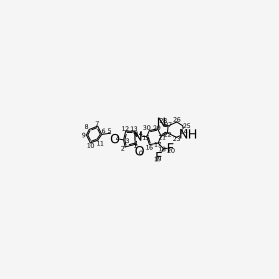 O=c1cc(OCc2ccccc2)ccn1C1=CC(C(F)F)C2=C3CNCCC3=NC2=C1